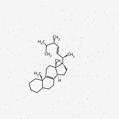 CC(C)[C@@H](C)C=C[C@@H](C)[C@H]1CC[C@H]2C3=C(CC[C@]12C)[C@@]1(C)CCCCC1CC3